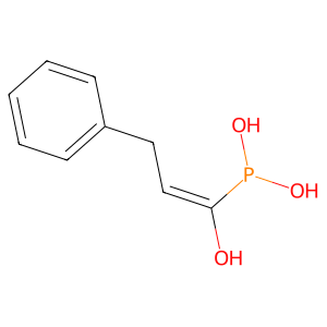 OC(=CCc1ccccc1)P(O)O